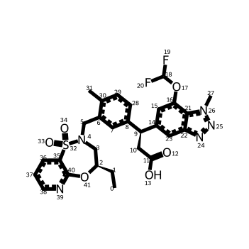 CC[C@@H]1CN(Cc2cc([C@H](CC(=O)O)c3cc(OC(F)F)c4c(c3)nnn4C)ccc2C)S(=O)(=O)c2cccnc2O1